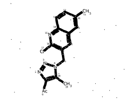 CC(=O)c1nnn(Cc2cc3cc(C)ccc3nc2Cl)c1C